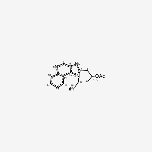 CC(=O)OC(C)Cc1nc2cnc3ccccc3c2n1CC(C)C